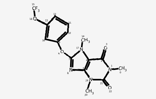 Cn1c(=O)c2c(nc(Oc3cccc(OC(F)(F)F)c3)n2C)n(C)c1=O